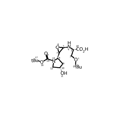 CC(C)(C)OC[C@H](NC1OC1[C@H]1C[C@H](O)CN1C(=O)OC(C)(C)C)C(=O)O